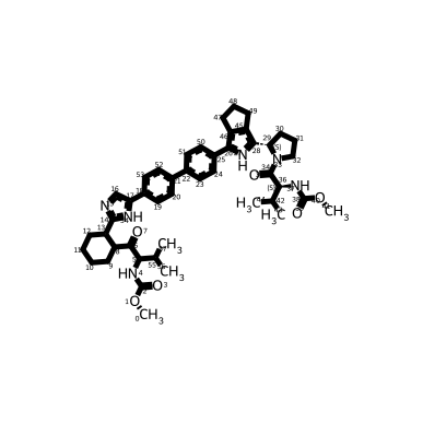 COC(=O)NC(C(=O)C1CCCCC1c1ncc(-c2ccc(-c3ccc(-c4[nH]c([C@@H]5CCCN5C(=O)[C@@H](NC(=O)OC)C(C)C)c5c4CCC5)cc3)cc2)[nH]1)C(C)C